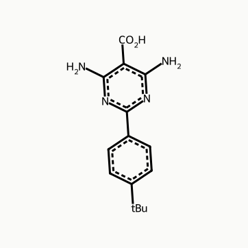 CC(C)(C)c1ccc(-c2nc(N)c(C(=O)O)c(N)n2)cc1